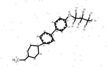 CCC1CCC(c2ccc(-c3ccc(OC(F)(F)C(F)(F)C(F)(F)F)cc3)cc2)CC1